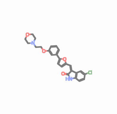 O=C1Nc2ccc(Cl)cc2C1=Cc1ccc(-c2cccc(OCCN3CCOCC3)c2)o1